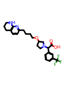 O=C(O)C(c1cccc(C(F)(F)F)c1)N1CCC(OCCCCc2ccc3c(n2)NCCC3)C1